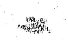 CC(=O)N1CCN(c2ccc3nc(C)cc(NC(C)c4cc(N)cc(C)c4F)c3c2)CC1.Cl.Cl